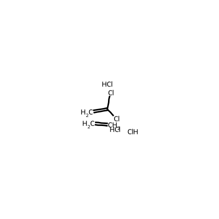 C=C.C=C(Cl)Cl.Cl.Cl.Cl